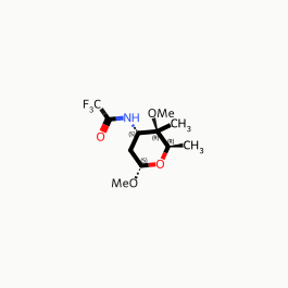 CO[C@@H]1C[C@H](NC(=O)C(F)(F)F)[C@@](C)(OC)[C@@H](C)O1